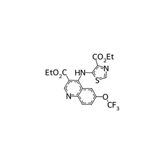 CCOC(=O)c1cnc2ccc(OC(F)(F)F)cc2c1Nc1scnc1C(=O)OCC